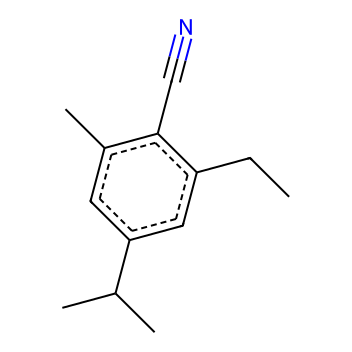 CCc1cc(C(C)C)cc(C)c1C#N